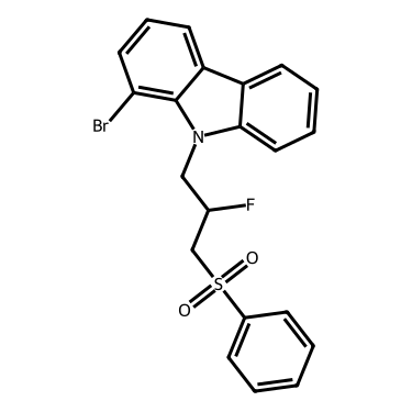 O=S(=O)(CC(F)Cn1c2ccccc2c2cccc(Br)c21)c1ccccc1